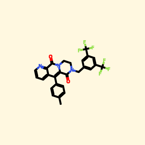 Cc1ccc(-c2c3n(c(=O)c4ncccc24)CCN(Cc2cc(C(F)(F)F)cc(C(F)(F)F)c2)C3=O)cc1